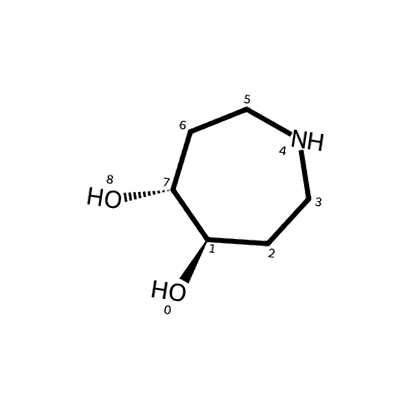 O[C@@H]1CCNCC[C@H]1O